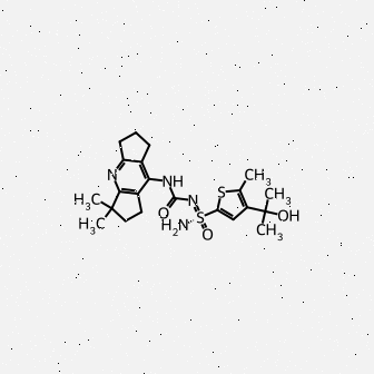 Cc1sc([S@@](N)(=O)=NC(=O)Nc2c3c(nc4c2CCC4(C)C)CCC3)cc1C(C)(C)O